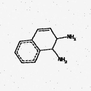 NC1C=Cc2ccccc2C1N